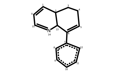 C1=CC2CCC=C(c3ccccc3)C2N=C1